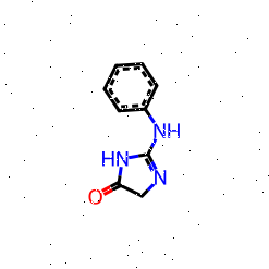 O=C1CN=C(Nc2ccccc2)N1